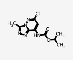 Cc1nnc2c(NC(=O)OC(C)C)cc(Cl)nn12